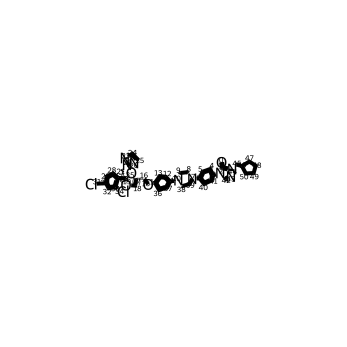 O=c1n(-c2ccc(N3CCN(c4ccc(OC[C@@H]5CO[C@@](Cn6nccn6)(c6ccc(Cl)cc6Cl)O5)cc4)CC3)cc2)cnn1CC1CCCC1